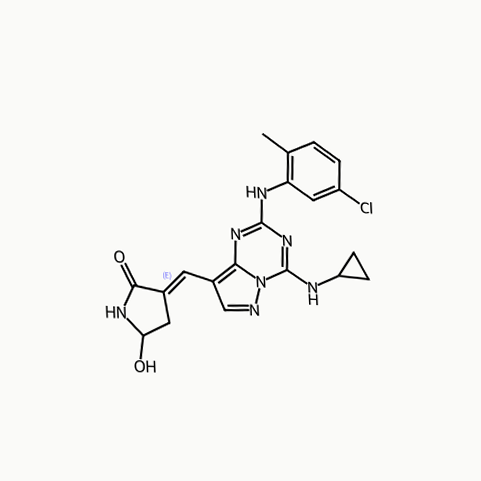 Cc1ccc(Cl)cc1Nc1nc(NC2CC2)n2ncc(/C=C3\CC(O)NC3=O)c2n1